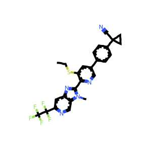 CCSc1cc(-c2ccc(C3(C#N)CC3)cc2)cnc1-c1nc2cc(C(F)(F)C(F)(F)F)ncc2n1C